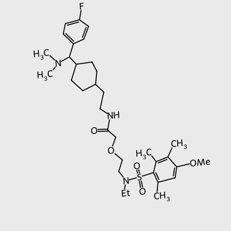 CCN(CCOCC(=O)NCCC1CCC(C(c2ccc(F)cc2)N(C)C)CC1)S(=O)(=O)c1c(C)cc(OC)c(C)c1C